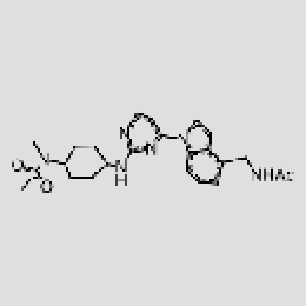 CC(=O)NCc1cccc2c1ccn2-c1ccnc(NC2CCC(N(C)S(C)(=O)=O)CC2)n1